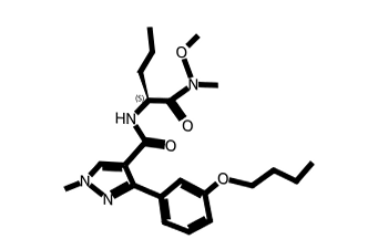 CCCCOc1cccc(-c2nn(C)cc2C(=O)N[C@@H](CCC)C(=O)N(C)OC)c1